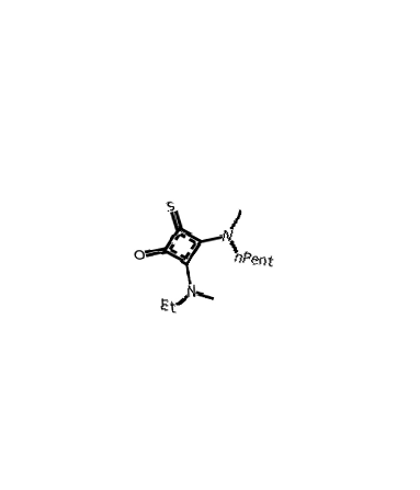 CCCCCN(C)c1c(N(C)CC)c(=O)c1=S